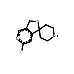 Clc1cc2c(cn1)COC21CCNCC1